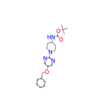 CC(C)(C)OC(=O)NC1CCN(c2ncc(OCc3ccccc3)cn2)CC1